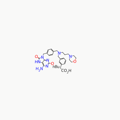 CCCCOc1nc(N)c2[nH]c(=O)n(Cc3ccc(CN(CCCN4CCOCC4)Cc4cccc(CC(=O)O)c4)cc3)c2n1